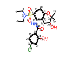 CCN(CC)S(=O)(=O)c1ccc2c(c1)[C@@H](OC(=N)c1ccc(Cl)cc1O)[C@H](O)C(C)(C)O2